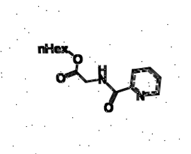 CCCCCCOC(=O)CNC(=O)c1ccccn1